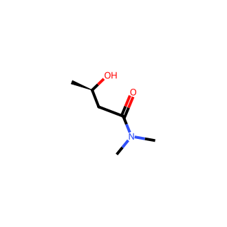 C[C@@H](O)CC(=O)N(C)C